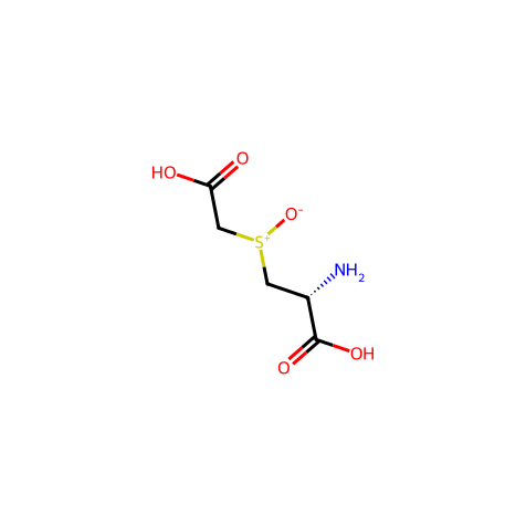 N[C@@H](C[S+]([O-])CC(=O)O)C(=O)O